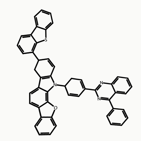 C1=CC(n2c3c(c4ccc5c6ccccc6oc5c42)CC(c2cccc4c2sc2ccccc24)C=C3)CC=C1c1nc(-c2ccccc2)c2ccccc2n1